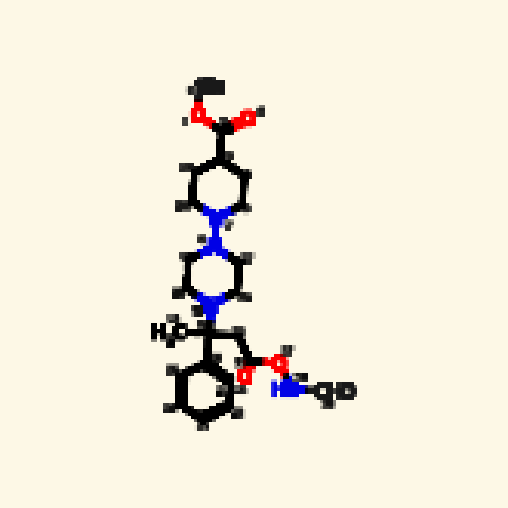 CC(C)(C)OC(=O)C1CCN(N2CCN(C(C)(CC(=O)ONC=O)c3ccccc3)CC2)CC1